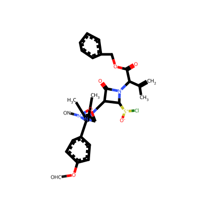 C=C(C)C(C(=O)OCc1ccccc1)N1C(=O)C(N2C3O[N+](N=O)(C3c3ccc(OC=O)cc3)C2(C)C)C1[S+]([O-])Cl